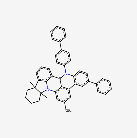 CC(C)(C)c1cc2c3c(c1)N1c4c(cccc4C4(C)CCCCC14C)B3N(c1ccc(-c3ccccc3)cc1)c1ccc(-c3ccccc3)cc1-2